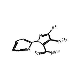 CCc1nn(-c2ccccn2)c(C(=O)NC)c1[N+](=O)[O-]